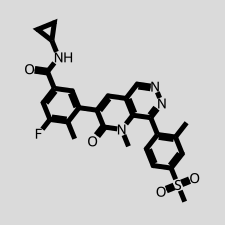 Cc1cc(S(C)(=O)=O)ccc1-c1nncc2cc(-c3cc(C(=O)NC4CC4)cc(F)c3C)c(=O)n(C)c12